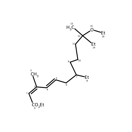 CCOC(=O)C=C(C)C=CCC(CC)CCCC(C)(CC)OCC